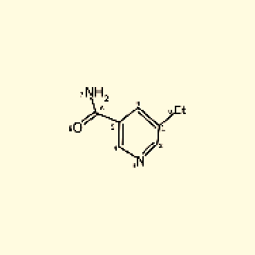 CCc1cncc(C(N)=O)c1